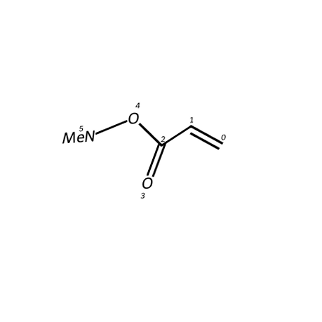 C=CC(=O)ONC